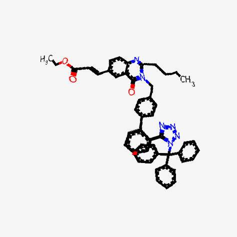 CCCCc1nc2ccc(C=CC(=O)OCC)cc2c(=O)n1Cc1ccc(-c2ccccc2-c2nnnn2C(c2ccccc2)(c2ccccc2)c2ccccc2)cc1